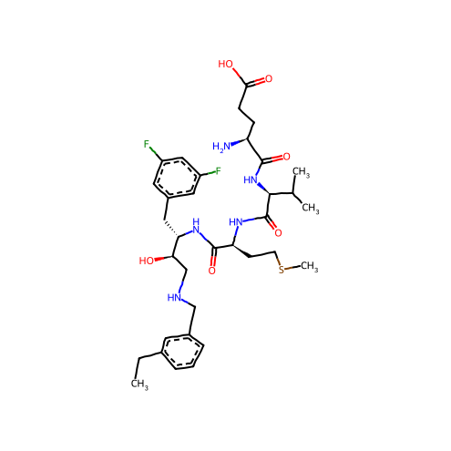 CCc1cccc(CNC[C@@H](O)[C@H](Cc2cc(F)cc(F)c2)NC(=O)[C@H](CCSC)NC(=O)[C@@H](NC(=O)[C@@H](N)CCC(=O)O)C(C)C)c1